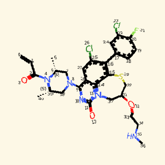 C=CC(=O)N1[C@H](C)CN(c2nc(=O)n3c4c(c(-c5ccc(F)c(Cl)c5)c(Cl)cc24)SCC(OCCNC)C3)C[C@@H]1C